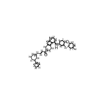 Cc1ccc(Oc2ccc(Nc3ncnc4sc5c(c34)CCN(C(=O)/C=C/CN3CCCC(c4nccs4)C3)C5)cc2C)cn1